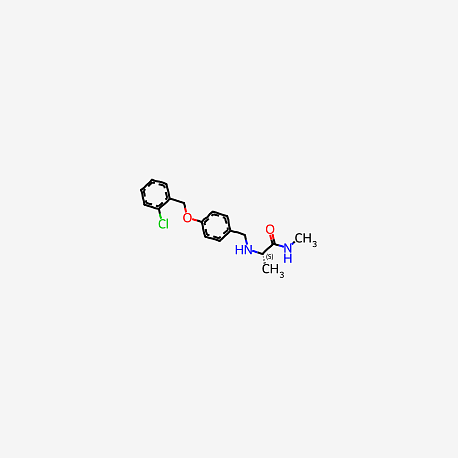 CNC(=O)[C@H](C)NCc1ccc(OCc2ccccc2Cl)cc1